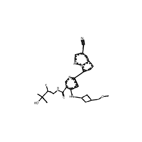 COCC1CC(Nc2cc(-c3ccc4cc(C#N)cnn34)ncc2C(=O)NCC(F)C(C)(C)O)C1